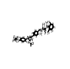 CC(=O)Nc1nc(-c2ccc(CNNC(=S)Nc3c(C)cccc3C)cc2)nn1-c1ccc(OC(F)(F)F)cc1